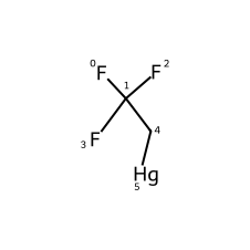 FC(F)(F)[CH2][Hg]